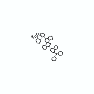 CC1(C)c2ccccc2-c2c(-c3cc4c5ccccc5c(-c5ccc(N(c6ccccc6)c6ccccc6)c6ccccc56)cc4c4ccccc34)cccc21